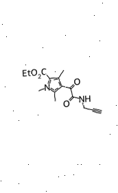 C#CCNC(=O)C(=O)c1c(C)c(C(=O)OCC)n(C)c1C